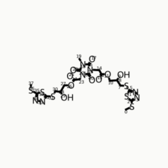 CSc1nnc(SCC(O)COC(=O)Cn2c(=O)n(C)c(=O)n(CC(=O)OCC(O)CSc3nnc(SC)s3)c2=O)s1